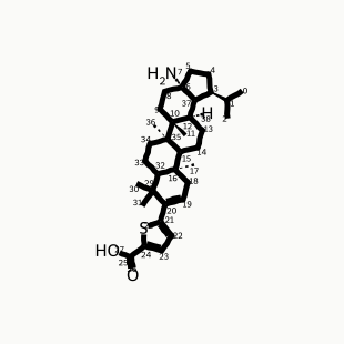 CC(C)[C@@H]1CC[C@]2(N)CC[C@]3(C)[C@H](CCC4[C@@]5(C)CC=C(c6ccc(C(=O)O)s6)C(C)(C)C5CC[C@]43C)C12